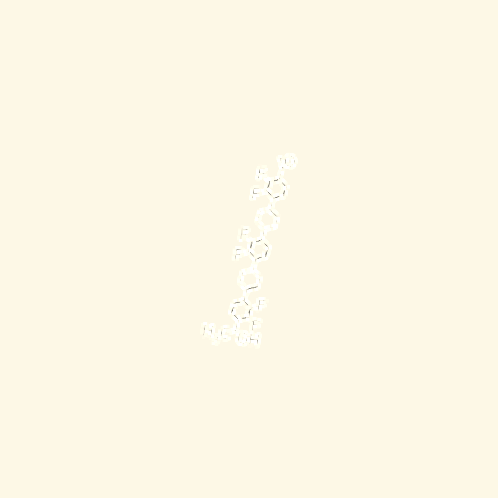 CC(O)c1ccc(C2=CCC(c3ccc(C4CC=C(c5ccc(C6CO6)c(F)c5F)CC4)c(F)c3F)CC2)c(F)c1F